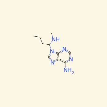 CCCC(NC)n1cnc2c(N)ncnc21